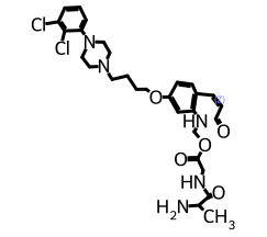 CC(N)C(=O)NCC(=O)OCNc1cc(OCCCCN2CCN(c3cccc(Cl)c3Cl)CC2)ccc1/C=C\C=O